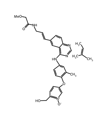 CC=C(C)C.COCC(=O)NCC=Cc1ccc2ncnc(Nc3ccc(Oc4ccc(CO)[n+]([O-])c4)c(C)c3)c2c1